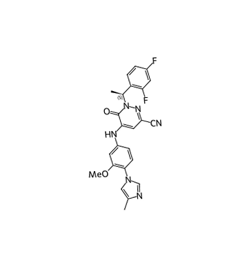 COc1cc(Nc2cc(C#N)nn([C@@H](C)c3ccc(F)cc3F)c2=O)ccc1-n1cnc(C)c1